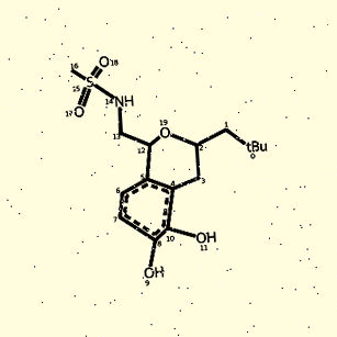 CC(C)(C)CC1Cc2c(ccc(O)c2O)C(CNS(C)(=O)=O)O1